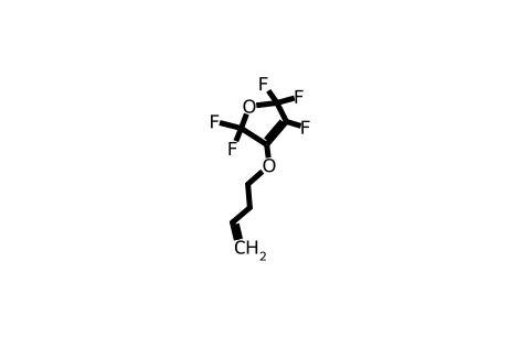 C=CCCOC1=C(F)C(F)(F)OC1(F)F